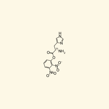 N[C@@H](Cc1c[nH]cn1)C(=O)Oc1cccc([N+](=O)[O-])c1[N+](=O)[O-]